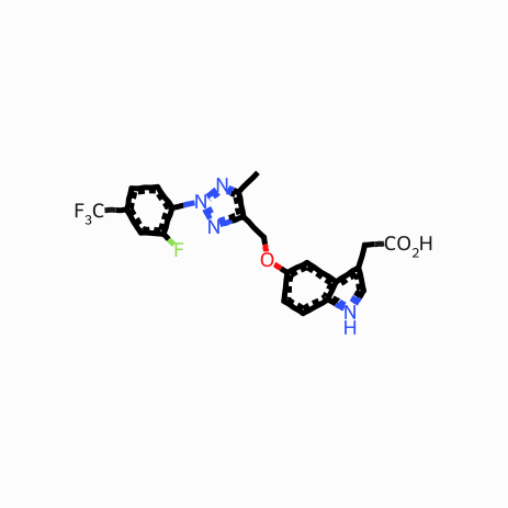 Cc1nn(-c2ccc(C(F)(F)F)cc2F)nc1COc1ccc2[nH]cc(CC(=O)O)c2c1